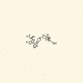 CC(C)N(CC(F)F)C(=O)c1cc(F)ccc1Oc1cncnc1N1CC2(CCN(C[C@@H]3CC[C@@H](NS(=O)(=O)N(C)CCCO)CO3)CC2)C1